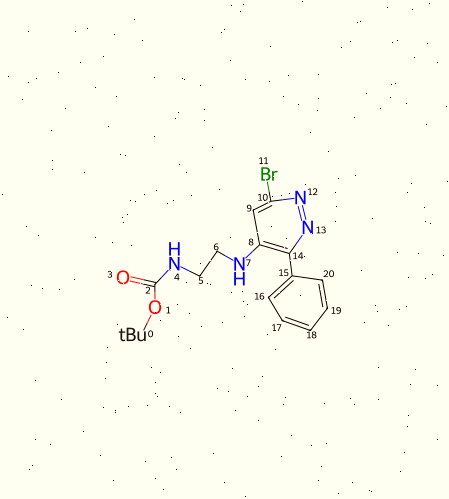 CC(C)(C)OC(=O)NCCNc1cc(Br)nnc1-c1ccccc1